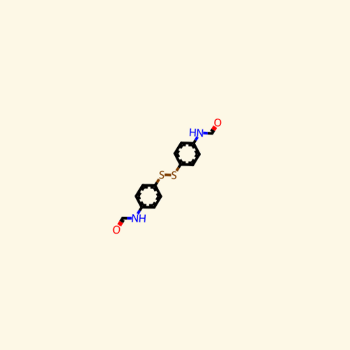 O=CNc1ccc(SSc2ccc(NC=O)cc2)cc1